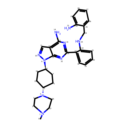 CN1CCN([C@H]2CC[C@H](n3ncc4c(N)nc(-c5ccccc5NCc5ccccc5N)nc43)CC2)CC1